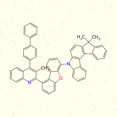 Cc1c(-c2cccc3oc4c(-n5c6ccccc6c6c7c(ccc65)C(C)(C)c5ccccc5-7)cccc4c23)nc2ccccc2c1-c1ccc(-c2ccccc2)cc1